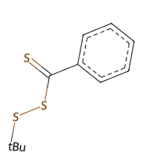 CC(C)(C)SSC(=S)c1ccccc1